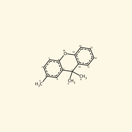 Cc1ccc2c(c1)C(C)(C)c1ccccc1O2